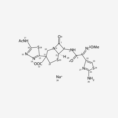 CON=C(C(=O)NC1C(=O)N2CC(C(=O)[O-])(c3nnc(NC(C)=O)s3)CS[C@H]12)c1csc(N)n1.[Na+]